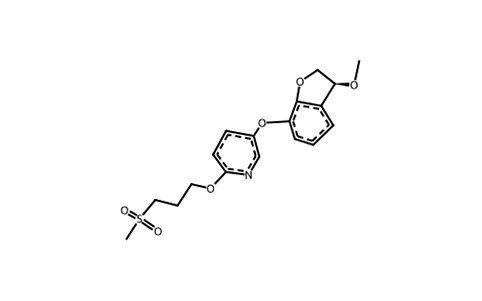 CO[C@@H]1COc2c(Oc3ccc(OCCCS(C)(=O)=O)nc3)cccc21